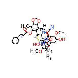 C=CCN1C2c3c(cc(C)c(OC)c3O)CC1[C@H](C#N)N1C2[C@@H]2SC[C@]3(NCCc4cc(O)c(OC)cc43)C(=O)OC[C@H]1c1c3c(c(C)c(OC(=O)/C=C/c4ccccc4)c12)OCO3